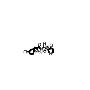 O=C(NNS(=O)(=O)c1cnccc1Cl)c1cc2cc(Cl)ccc2[nH]1